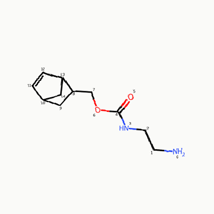 NCCNC(=O)OCC1CC2C=CC1C2